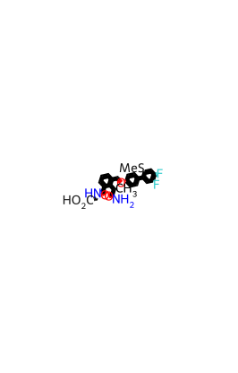 CSc1cc(F)c(F)cc1-c1ccc(OCc2cccc(C(=O)NCC(=O)O)c2[C@H](C)C(N)=O)cc1